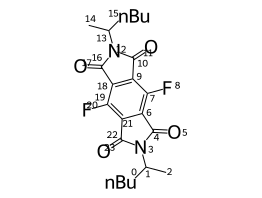 CCCCC(C)n1c(=O)c2c(F)c3c(=O)n(C(C)CCCC)c(=O)c3c(F)c2c1=O